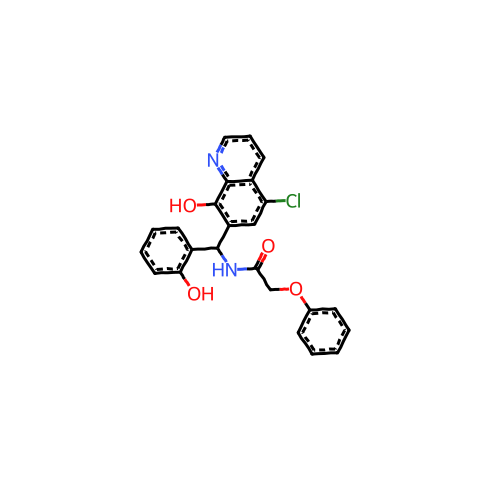 O=C(COc1ccccc1)NC(c1ccccc1O)c1cc(Cl)c2cccnc2c1O